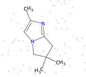 Cc1cn2c(n1)CC(C)(C)C2